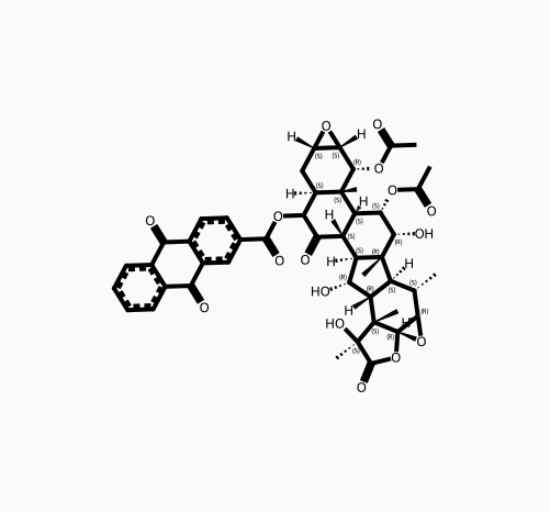 CC(=O)O[C@H]1[C@H]2[C@@H](C(=O)C(OC(=O)c3ccc4c(c3)C(=O)c3ccccc3C4=O)[C@H]3C[C@@H]4O[C@@H]4[C@H](OC(C)=O)[C@]23C)[C@@H]2[C@@H](O)[C@@H]3[C@H]([C@H](C)[C@H]4O[C@]45OC(=O)[C@@](C)(O)[C@]35C)[C@@]2(C)[C@H]1O